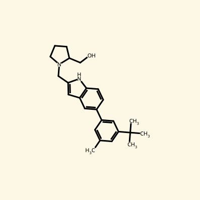 Cc1cc(-c2ccc3[nH]c(CN4CCCC4CO)cc3c2)cc(C(C)(C)C)c1